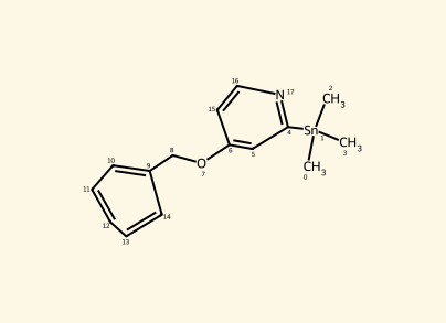 [CH3][Sn]([CH3])([CH3])[c]1cc(OCc2ccccc2)ccn1